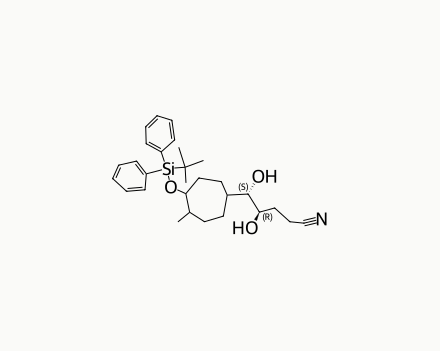 CC1CCC([C@H](O)[C@H](O)CCC#N)CCC1O[Si](c1ccccc1)(c1ccccc1)C(C)(C)C